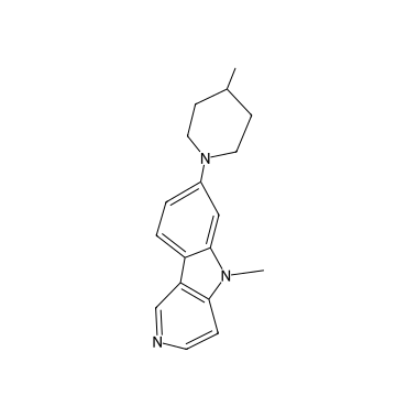 CC1CCN(c2ccc3c4cnccc4n(C)c3c2)CC1